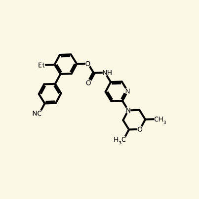 CCc1ccc(OC(=O)Nc2ccc(N3CC(C)OC(C)C3)nc2)cc1-c1ccc(C#N)cc1